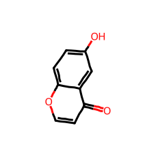 O=c1ccoc2ccc(O)cc12